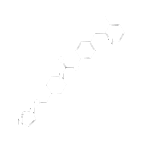 Cc1cccnc1Cc1ccc(OC(=O)N2CCC(COn3ccnc3)CC2)cc1